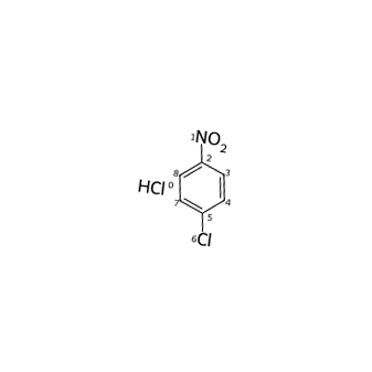 Cl.O=[N+]([O-])c1ccc(Cl)cc1